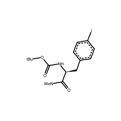 CNC(=O)[C@H](Cc1ccc(I)cc1)NC(=O)OC(C)(C)C